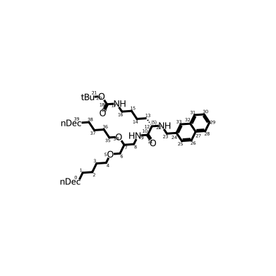 CCCCCCCCCCCCCCOCC(CNC(=O)[C@H](CCCCNC(=O)OC(C)(C)C)NCc1ccc2ccccc2c1)OCCCCCCCCCCCCCC